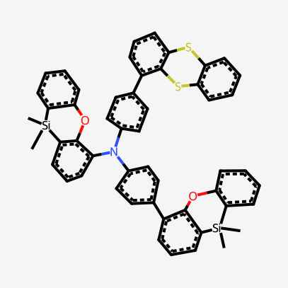 C[Si]1(C)c2ccccc2Oc2c(-c3ccc(N(c4ccc(-c5cccc6c5Sc5ccccc5S6)cc4)c4cccc5c4Oc4ccccc4[Si]5(C)C)cc3)cccc21